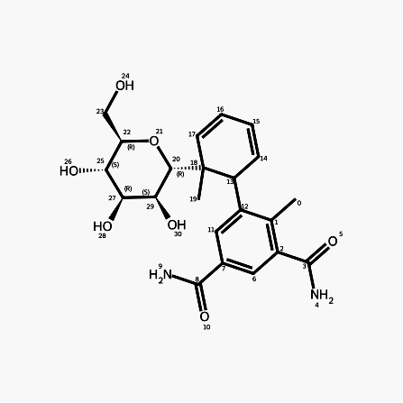 Cc1c(C(N)=O)cc(C(N)=O)cc1C1C=CC=CC1(C)[C@H]1O[C@H](CO)[C@@H](O)[C@H](O)[C@@H]1O